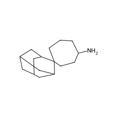 NC1CCCC2(CC1)C1CC3CC(C1)CC2C3